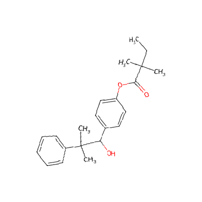 CCC(C)(C)C(=O)Oc1ccc(C(O)C(C)(C)c2ccccc2)cc1